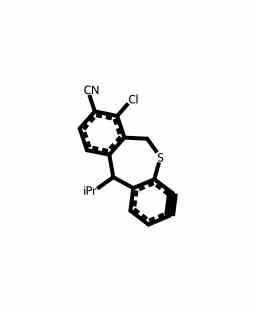 CC(C)C1c2ccc#cc2SCc2c1ccc(C#N)c2Cl